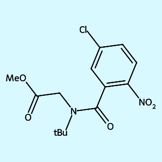 COC(=O)CN(C(=O)c1cc(Cl)ccc1[N+](=O)[O-])C(C)(C)C